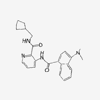 CN(C)c1ccc(C(=O)Nc2cccnc2C(=O)NCC2CCC2)c2ccccc12